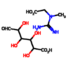 CN(CC(=O)O)C(=N)N.O=CC(O)C(O)C(O)C(O)C(=O)O